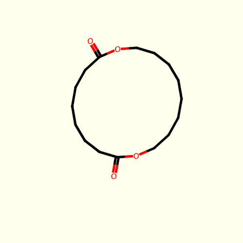 O=C1CCCCCCC(=O)OCCCCCCCCO1